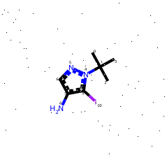 CC(C)(C)n1ncc(N)c1I